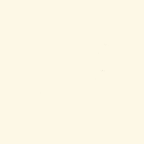 COC(=O)CCCC(=O)O.COC(=O)CCCCCCCCC(=O)O